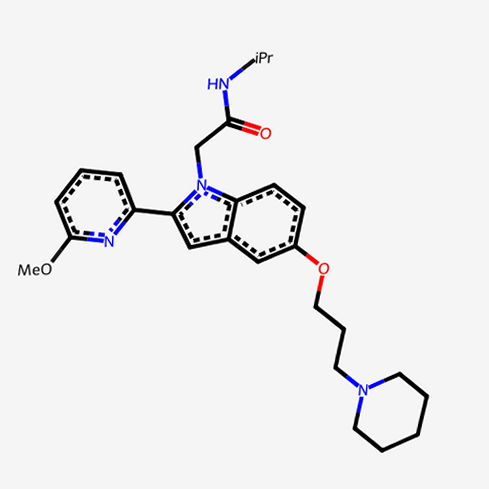 COc1cccc(-c2cc3cc(OCCCN4CCCCC4)ccc3n2CC(=O)NC(C)C)n1